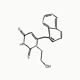 O=c1cc(-c2cccc3ccccc23)n(CCO)c(=S)[nH]1